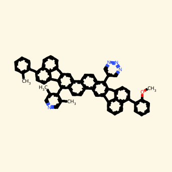 COc1ccccc1-c1ccc2c3c(cccc13)-c1cc3c(ccc4c5cc6c(c(-c7c(C)cncc7C)c5ccc34)-c3ccc(-c4ccccc4C)c4cccc-6c34)c(-c3cnnnc3)c1-2